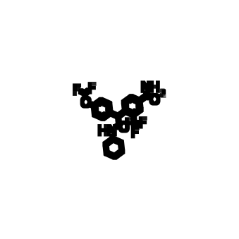 NC(=O)c1ccc(C(C(=O)NC2CCCCC2)c2ccc(OC(F)F)cc2)c(C(F)(F)F)c1